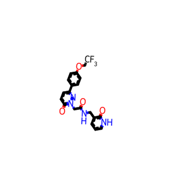 O=C(Cn1nc(-c2ccc(OCC(F)(F)F)cc2)ccc1=O)NCc1ccc[nH]c1=O